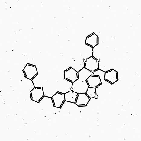 c1ccc(-c2cccc(-c3ccc4c5ccc6oc7ccccc7c6c5n(-c5cccc(-c6nc(-c7ccccc7)nc(-c7ccccc7)n6)c5)c4c3)c2)cc1